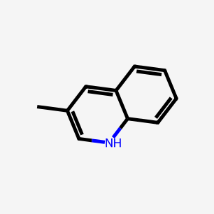 CC1=CNC2C=CC=CC2=C1